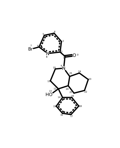 O=C(c1cccc(Br)n1)N1CCC(O)(c2ccccc2)C2CCCCC21